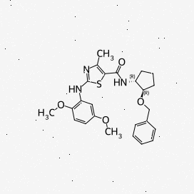 COc1ccc(OC)c(Nc2nc(C)c(C(=O)N[C@@H]3CCC[C@H]3OCc3ccccc3)s2)c1